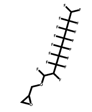 FC(OCC1CO1)C(F)C(F)(F)C(F)(F)C(F)(F)C(F)(F)C(F)(F)C(F)(F)C(F)F